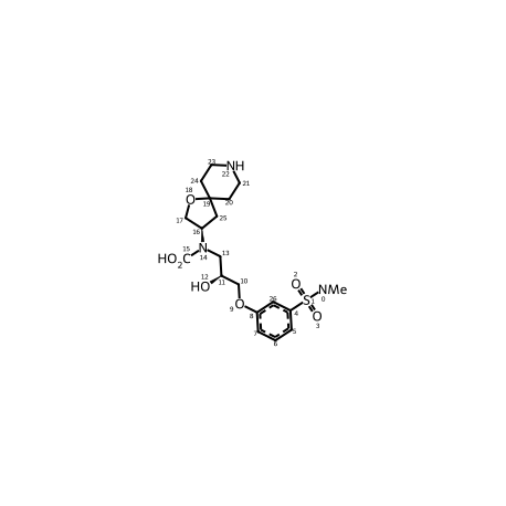 CNS(=O)(=O)c1cccc(OC[C@@H](O)CN(C(=O)O)[C@H]2COC3(CCNCC3)C2)c1